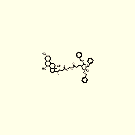 C[C@H](CCC(=O)OCOC(=O)CCC(CP(=O)(OCc1ccccc1)OCc1ccccc1)C(=O)OCc1ccccc1)C1CCC2C3C(C[C@H](O)[C@@]21C)[C@@]1(C)CC[C@@H](O)CC1C[C@H]3O